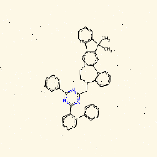 CC1(C)c2ccccc2-c2cc3c(cc21)-c1ccccc1C(Cc1nc(-c2ccccc2)nc(-c2ccccc2-c2ccccc2)n1)CC3